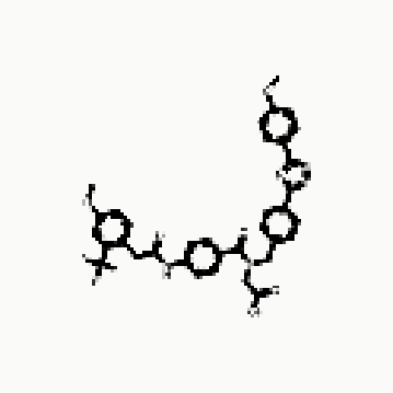 COc1ccc(-c2noc(-c3ccc(CN(CC(=O)O)C(=O)c4ccc(NC(=O)Cc5ccc(OC)cc5C(F)(F)F)cc4)cc3)n2)cc1